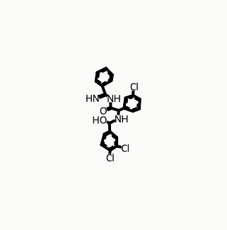 N=C(NC(=O)C(NC(O)c1ccc(Cl)c(Cl)c1)c1cccc(Cl)c1)c1ccccc1